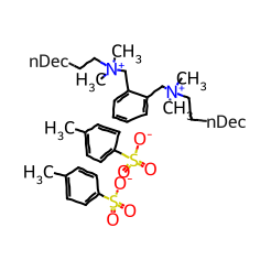 CCCCCCCCCCCC[N+](C)(C)Cc1ccccc1C[N+](C)(C)CCCCCCCCCCCC.Cc1ccc(S(=O)(=O)[O-])cc1.Cc1ccc(S(=O)(=O)[O-])cc1